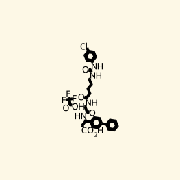 O=C(O)C(F)(F)F.O=C(O)CC(NC(=O)CNC(=O)CCCCNC(=O)Nc1ccc(Cl)cc1)c1ccc(-c2ccccc2)cc1